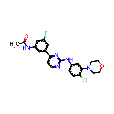 CC(=O)Nc1cc(F)cc(-c2ccnc(Nc3ccc(Cl)c(N4CCOCC4)c3)n2)c1